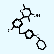 CC1CC(O)C(C)C(c2ccc(Cl)c(Cc3ccc(OC4CCCCC4)cc3)c2)O1